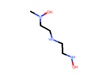 CN(O)CCNCCNO